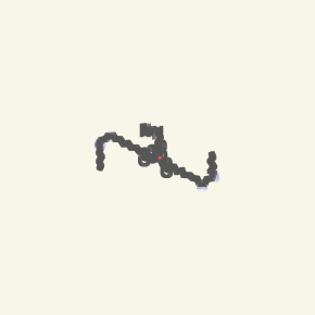 CCCCC/C=C\C/C=C\CCCCCCCC(=O)OCC(COC(=O)CCCCCCCC/C=C\C/C=C\CCCCCC)OC(=O)OCCN(C)CCN(C)C